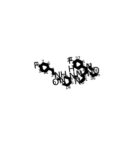 O=C(NCCc1ccc(F)cc1)N1CCC[C@@H](Nc2nccc(-c3c(-c4ccc(F)cc4)nc4occn34)n2)C1